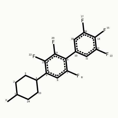 CC1CCC(c2cc(F)c(-c3cc(F)c(F)c(F)c3)c(F)c2F)CC1